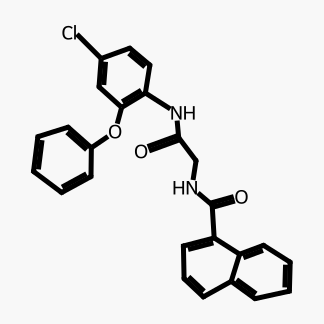 O=C(CNC(=O)c1cccc2ccccc12)Nc1ccc(Cl)cc1Oc1ccccc1